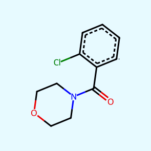 O=C(c1[c]cccc1Cl)N1CCOCC1